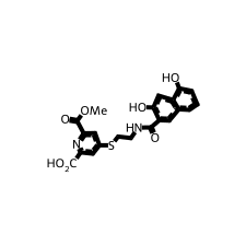 COC(=O)c1cc(SCCNC(=O)c2cc3cccc(O)c3cc2O)cc(C(=O)O)n1